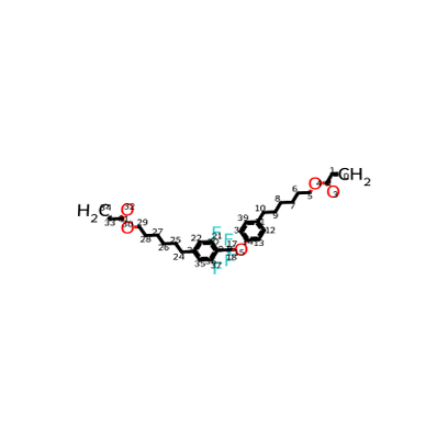 C=CC(=O)OCCCCCCc1ccc(OC(F)(F)c2c(F)cc(CCCCCCOC(=O)C=C)cc2F)cc1